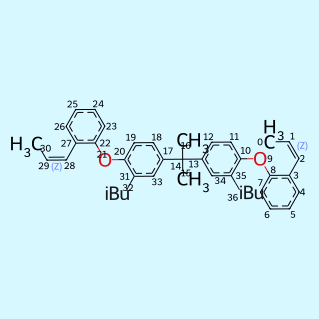 C/C=C\c1ccccc1Oc1ccc(C(C)(C)c2ccc(Oc3ccccc3/C=C\C)c(C(C)CC)c2)cc1C(C)CC